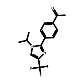 CC(=O)c1ccc(-c2nc(C(F)(F)F)cn2C(C)C)cc1